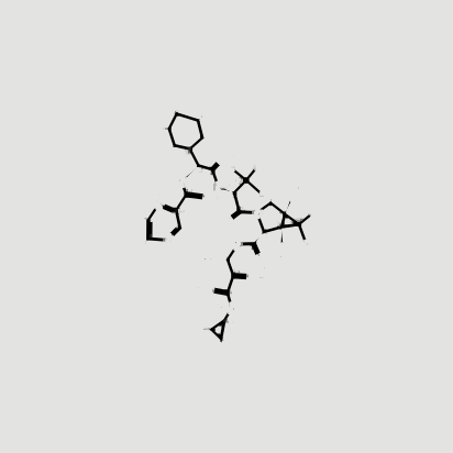 C[C@H](NC(=O)[C@@H]1[C@@H]2[C@H](CN1C(=O)[C@@H](NC(=O)[C@@H](NC(=O)c1cnccn1)C1CCCCC1)C(C)(C)C)C2(C)C)C(=O)C(=O)NC1CC1